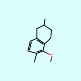 COc1c(C)ccc2c1CCC(C)C2